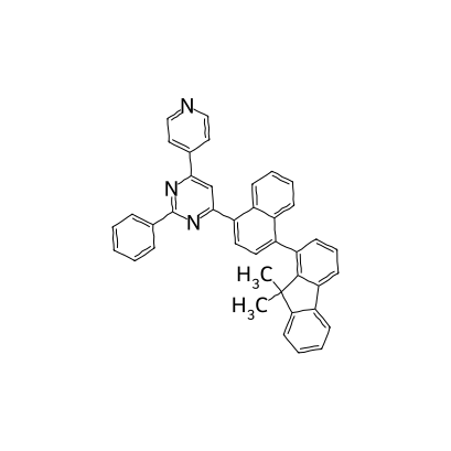 CC1(C)c2ccccc2-c2cccc(-c3ccc(-c4cc(-c5ccncc5)nc(-c5ccccc5)n4)c4ccccc34)c21